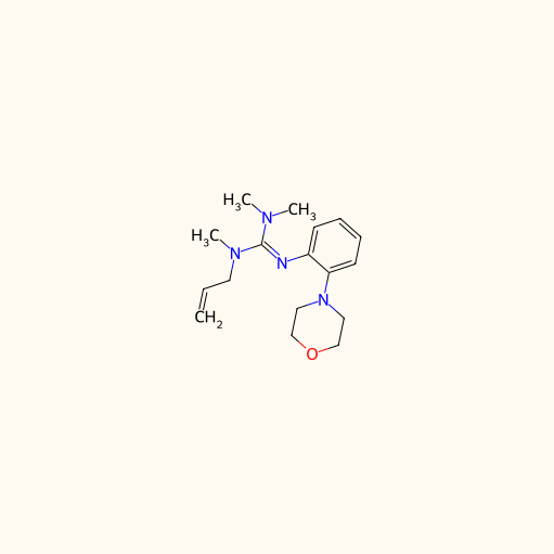 C=CCN(C)/C(=N/c1ccccc1N1CCOCC1)N(C)C